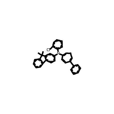 CC1(C)c2ccccc2-c2ccc(N(C3=CCC=C(c4ccccc4)C=C3)c3ccccc3Cl)cc21